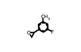 Cc1cc(F)cc(C2CO2)c1